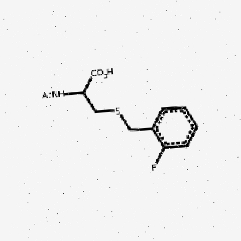 CC(=O)NC(CSCc1ccccc1F)C(=O)O